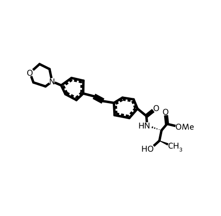 COC(=O)[C@@H](NC(=O)c1ccc(C#Cc2ccc(N3CCOCC3)cc2)cc1)[C@@H](C)O